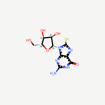 Nc1nc2c(nc(S)n2[C@@H]2O[C@H](CO)[C@@H](O)[C@H]2O)c(=O)[nH]1